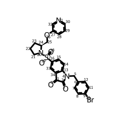 O=C1C(=O)N(Cc2ccc(Br)cc2)c2ccc(S(=O)(=O)N3CCC[C@H]3COc3cccnc3)cc21